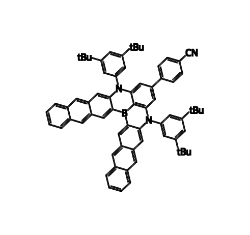 CC(C)(C)c1cc(N2c3cc4cc5ccccc5cc4cc3B3c4cc5cc6ccccc6cc5cc4N(c4cc(C(C)(C)C)cc(C(C)(C)C)c4)c4cc(-c5ccc(C#N)cc5)cc2c43)cc(C(C)(C)C)c1